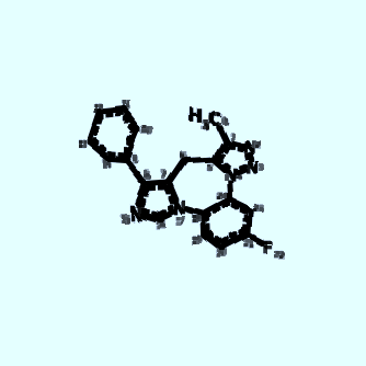 Cc1nnn2c1Cc1c(-c3ccccc3)ncn1-c1ccc(F)cc1-2